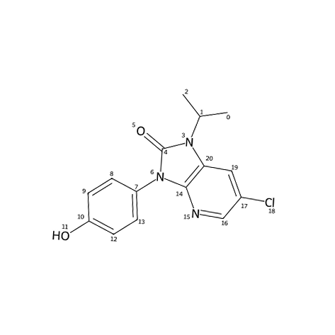 CC(C)n1c(=O)n(-c2ccc(O)cc2)c2ncc(Cl)cc21